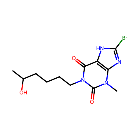 CC(O)CCCCn1c(=O)c2[nH]c(Br)nc2n(C)c1=O